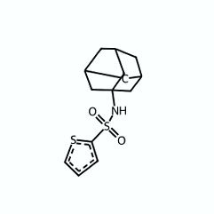 O=S(=O)(NC12CC3CC(CC(C3)C1)C2)c1cccs1